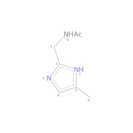 CC(=O)NCc1ncc(C)[nH]1